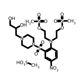 CS(=O)(=O)O.CS(=O)(=O)OCCN(CCOS(C)(=O)=O)c1ccc([N+](=O)[O-])cc1S(=O)(=O)N1CCN(CC(O)CO)CC1